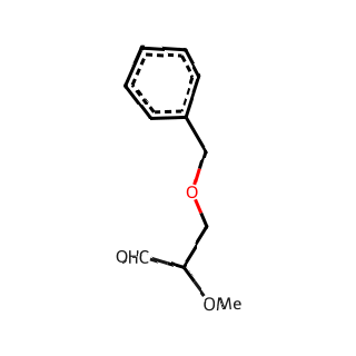 COC(C=O)COCc1ccccc1